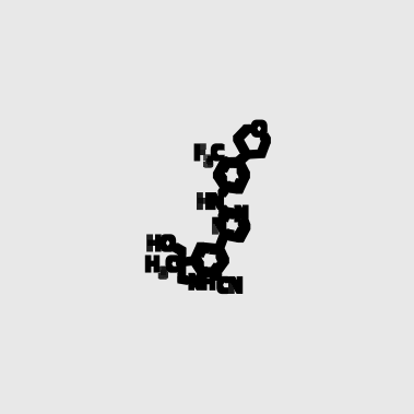 CC1(CO)CNc2c(C#N)cc(-c3ccnc(Nc4ccc(C5CCOCC5)c(C(F)(F)F)c4)n3)cc21